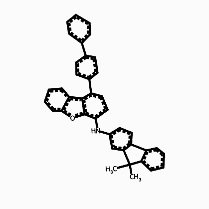 CC1(C)c2ccccc2-c2ccc(Nc3ccc(-c4ccc(-c5ccccc5)cc4)c4c3oc3ccccc34)cc21